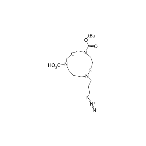 CC(C)(C)OC(=O)N1CCCN(CCCN=[N+]=[N-])CCCN(C(=O)O)CCC1